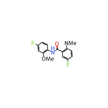 CNc1ccc(F)cc1C(=O)Nc1ccc(F)cc1OC